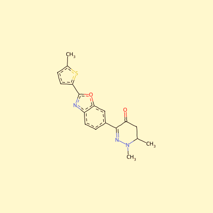 Cc1ccc(-c2nc3ccc(C4=NN(C)C(C)CC4=O)cc3o2)s1